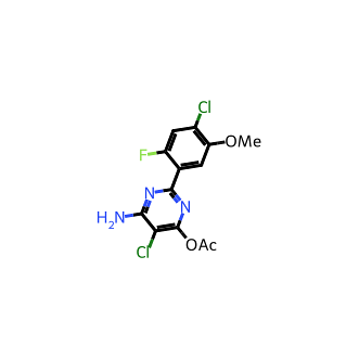 COc1cc(-c2nc(N)c(Cl)c(OC(C)=O)n2)c(F)cc1Cl